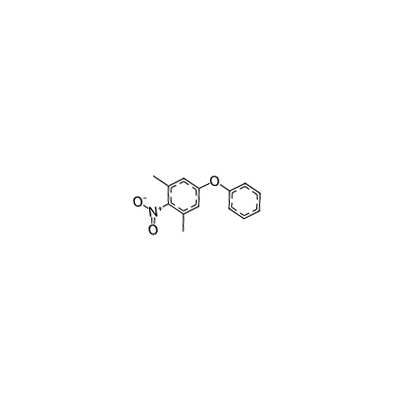 Cc1cc(Oc2ccccc2)cc(C)c1[N+](=O)[O-]